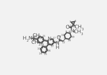 CN(C(=O)C1(C)CC1)[C@H]1CC[C@H](CC(=O)Nc2cnc(-c3ccc(C(C)(C)N)cc3)c(-c3ccccc3)c2)CC1